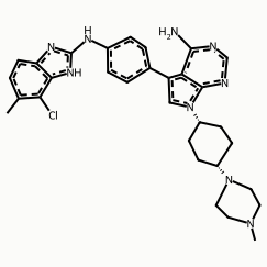 Cc1ccc2nc(Nc3ccc(-c4cn([C@H]5CC[C@@H](N6CCN(C)CC6)CC5)c5ncnc(N)c45)cc3)[nH]c2c1Cl